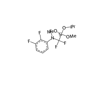 CO[Si](OC)(OC(C)C)C(F)(F)N(F)c1cccc(F)c1F